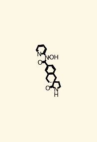 O=C(c1ccc2c(c1)CC[C@@]1(CCNC1=O)C2)N(O)c1ccccn1